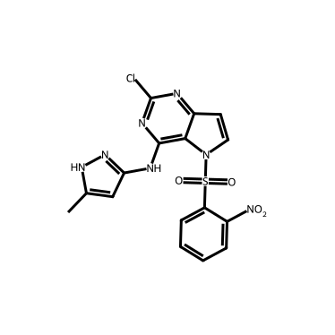 Cc1cc(Nc2nc(Cl)nc3ccn(S(=O)(=O)c4ccccc4[N+](=O)[O-])c23)n[nH]1